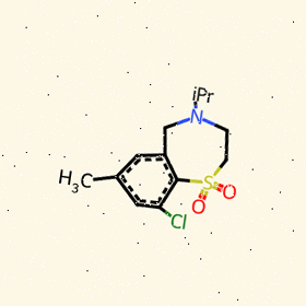 Cc1cc(Cl)c2c(c1)CN(C(C)C)CCS2(=O)=O